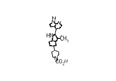 Cc1c(-c2ccnc3[nH]ccc23)[nH]c2ccc(C3CCN(C(=O)O)CC3)cc12